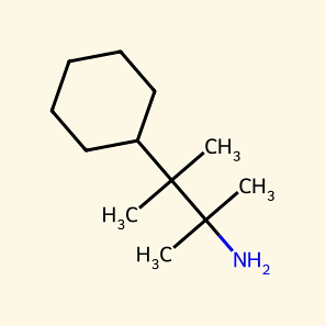 CC(C)(N)C(C)(C)C1CCCCC1